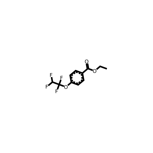 CCOC(=O)c1ccc(OC(F)(F)C(F)F)cc1